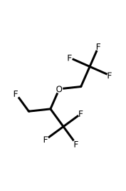 FCC(OCC(F)(F)F)C(F)(F)F